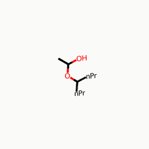 CCCC(CCC)OC(C)O